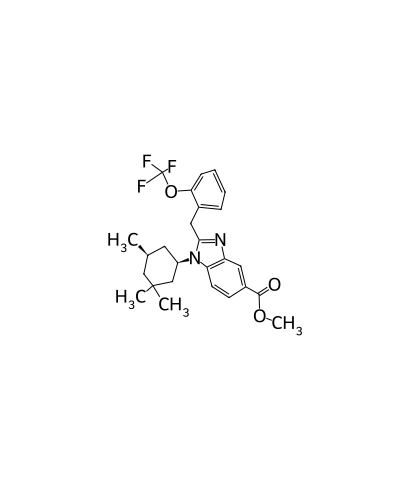 COC(=O)c1ccc2c(c1)nc(Cc1ccccc1OC(F)(F)F)n2[C@@H]1C[C@H](C)CC(C)(C)C1